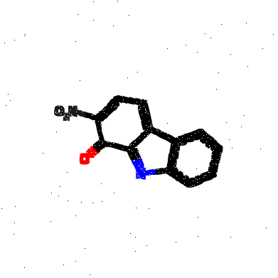 O=C1C([N+](=O)[O-])=CC=C2C1=Nc1ccccc12